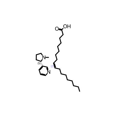 CCCCCCCC/C=C\CCCCCCCC(=O)O.CN1CCC[C@H]1c1cccnc1